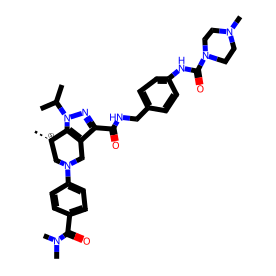 CC(C)n1nc(C(=O)NCc2ccc(NC(=O)N3CCN(C)CC3)cc2)c2c1[C@@H](C)CN(c1ccc(C(=O)N(C)C)cc1)C2